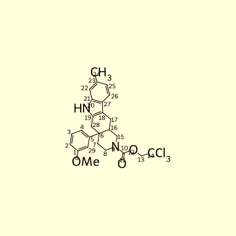 COc1cccc(C23CCN(C(=O)OCC(Cl)(Cl)Cl)CC2Cc2c([nH]c4cc(C)ccc24)C3)c1